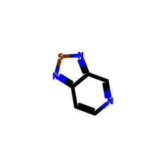 c1cc2nsnc2cn1